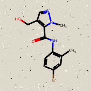 Cc1cc(Br)ccc1NC(=O)c1c(CO)cnn1C